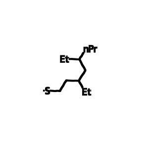 CCCC(CC)CC(CC)CC[S]